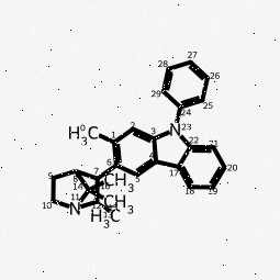 Cc1cc2c(cc1C1C3CCN([C@@H]1C)C3(C)C)c1ccccc1n2-c1ccccc1